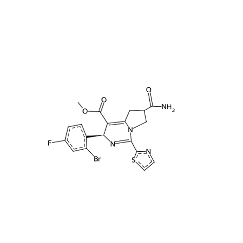 COC(=O)C1=C2CC(C(N)=O)CN2C(c2nccs2)=N[C@H]1c1ccc(F)cc1Br